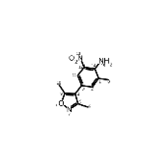 Cc1cc(-c2c(C)noc2C)cc([N+](=O)[O-])c1N